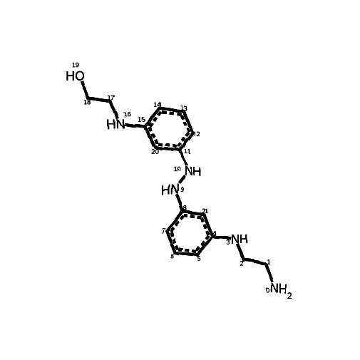 NCCNc1cccc(NNc2cccc(NCCO)c2)c1